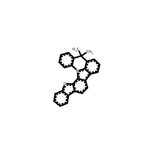 CC1(C)c2ccccc2-n2c3c1cccc3c1ccc3c4ccccc4oc3c12